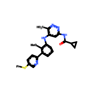 COc1c(Nc2cc(NC(=O)C3CC3)nnc2C(=O)O)cccc1-c1ccc(SC(C)C)cn1